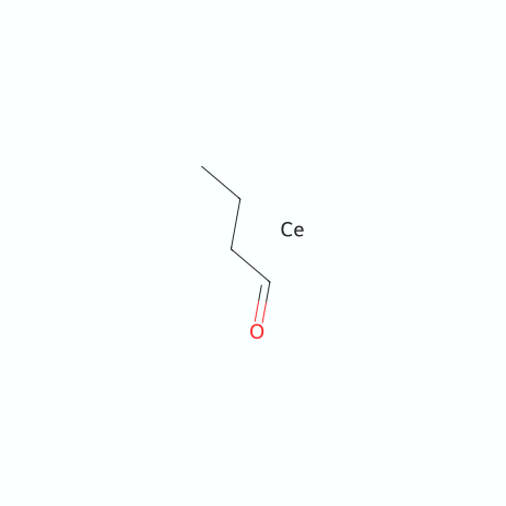 CCCC=O.[Ce]